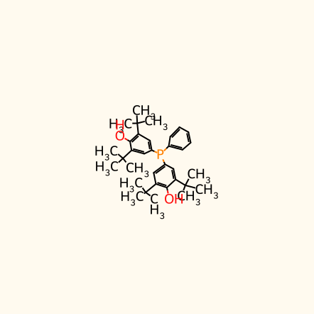 CC(C)(C)c1cc(P(c2ccccc2)c2cc(C(C)(C)C)c(O)c(C(C)(C)C)c2)cc(C(C)(C)C)c1O